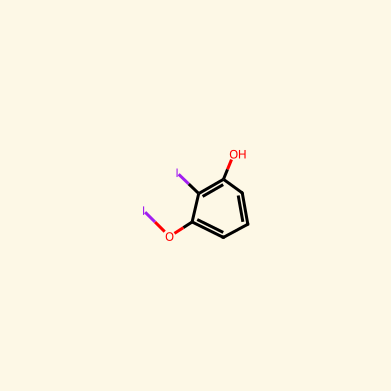 Oc1cccc(OI)c1I